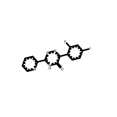 O=c1[nH]c(-c2ccccn2)nnc1-c1ccc(F)cc1F